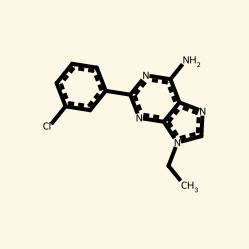 CCn1cnc2c(N)nc(-c3cccc(Cl)c3)nc21